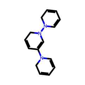 C1=CCN(C2=CN(N3C=CC=CC3)CC=C2)C=C1